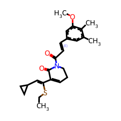 CCSC(=CC1CC1)C1=CCCN(C(=O)/C=C/c2cc(C)c(C)c(OC)c2)C1=O